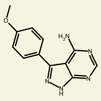 COc1ccc(-c2n[nH]c3ncnc(N)c23)cc1